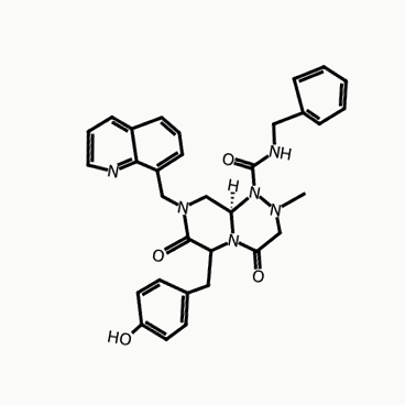 CN1CC(=O)N2C(Cc3ccc(O)cc3)C(=O)N(Cc3cccc4cccnc34)C[C@H]2N1C(=O)NCc1ccccc1